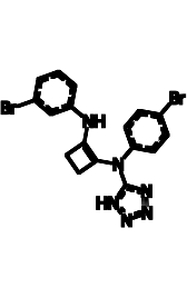 Brc1ccc(N(C2=C(Nc3cccc(Br)c3)CC2)c2nnn[nH]2)cc1